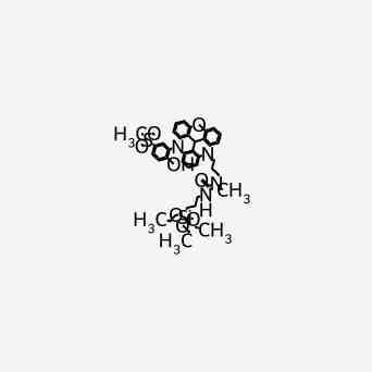 CCO[Si](CCCNC(=O)N(C)CCCN1c2cccc3c2C2c4c(cccc4N(c4cc(S(C)(=O)=O)ccc4O)c4cccc1c42)O3)(OCC)OCC